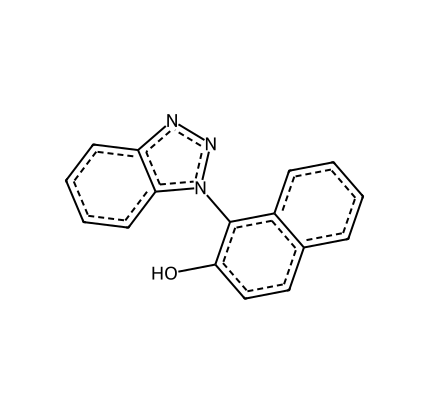 Oc1ccc2ccccc2c1-n1nnc2ccccc21